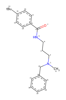 CN(CCCNC(=O)c1ccc(C(C)(C)C)cc1)Cc1ccccc1